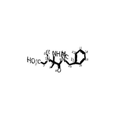 CCN(CC(=O)O)C(C)(NC(C)=O)C(=O)NCc1ccccc1